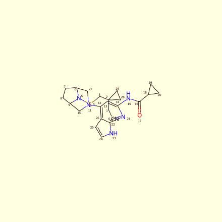 N#CCC1(CSN2C3CCC2CN(c2cc(NC(=O)C4CC4)nc4[nH]ccc24)C3)CC1